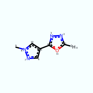 [2H]c1nnc(-c2cnn(C)c2)o1